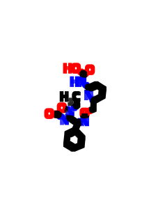 CCn1oc(=O)nc1/C(=N\OCc1cccc(NC(=O)O)n1)c1ccccc1